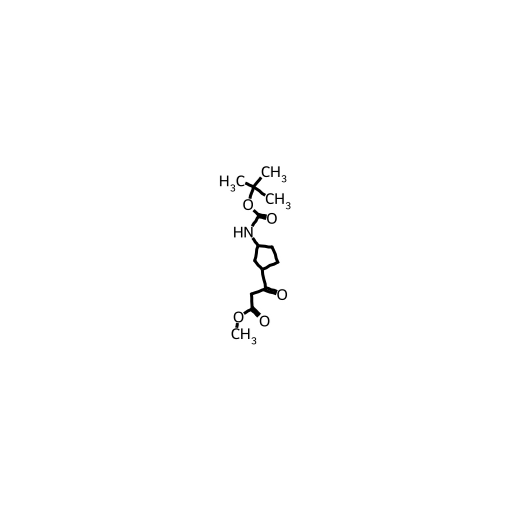 COC(=O)CC(=O)C1CCC(NC(=O)OC(C)(C)C)C1